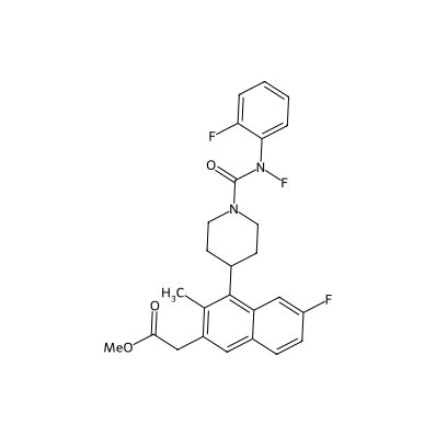 COC(=O)Cc1cc2ccc(F)cc2c(C2CCN(C(=O)N(F)c3ccccc3F)CC2)c1C